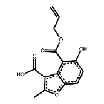 C=CCOC(=O)c1c(O)ccc2oc(C)c(C(=O)O)c12